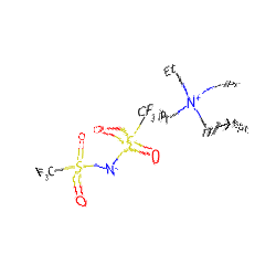 CCCCCCC[N+](CC)(C(C)C)C(C)C.O=S(=O)([N-]S(=O)(=O)C(F)(F)F)C(F)(F)F